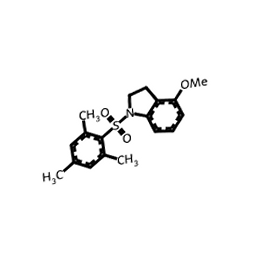 COc1cccc2c1CCN2S(=O)(=O)c1c(C)cc(C)cc1C